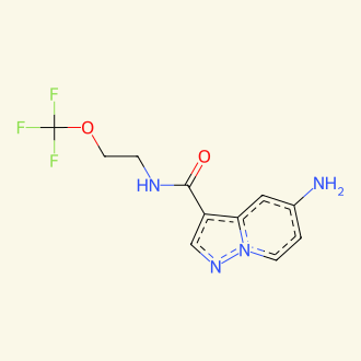 Nc1ccn2ncc(C(=O)NCCOC(F)(F)F)c2c1